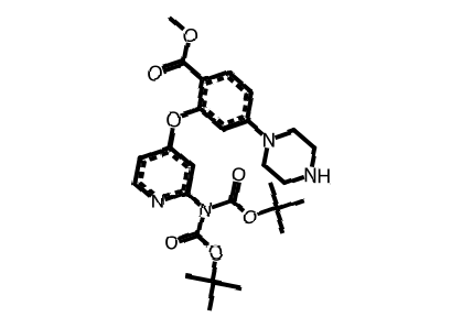 COC(=O)c1ccc(N2CCNCC2)cc1Oc1ccnc(N(C(=O)OC(C)(C)C)C(=O)OC(C)(C)C)c1